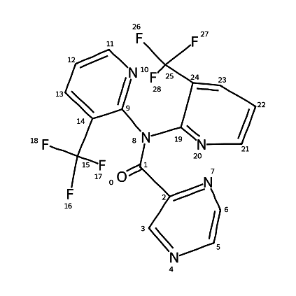 O=C(c1cnccn1)N(c1ncccc1C(F)(F)F)c1ncccc1C(F)(F)F